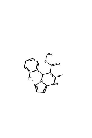 CCCCOC(=O)C1=C(C)Nc2ccnn2C1c1ccccc1C(F)(F)F